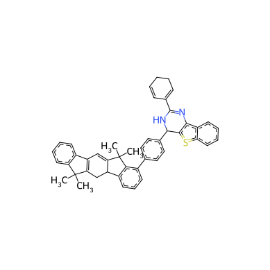 CC1(C)C2=C(C=C3C(C2)c2cccc(-c4ccc(C5NC(C6=CCCC=C6)=Nc6c5sc5ccccc65)cc4)c2C3(C)C)c2ccccc21